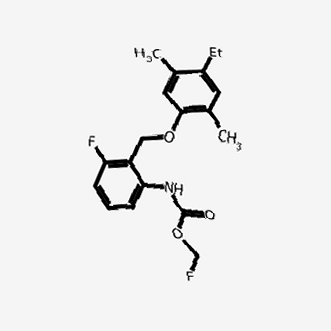 CCc1cc(C)c(OCc2c(F)cccc2NC(=O)OCF)cc1C